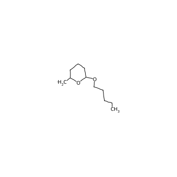 [CH2]C1CCCC(OCCCCC)O1